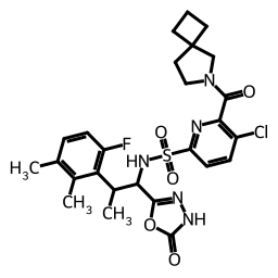 Cc1ccc(F)c(C(C)C(NS(=O)(=O)c2ccc(Cl)c(C(=O)N3CCC4(CCC4)C3)n2)c2n[nH]c(=O)o2)c1C